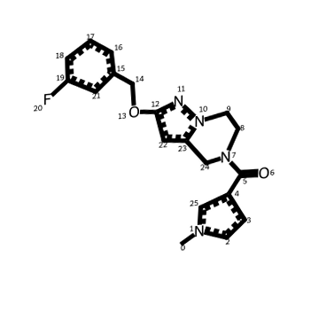 Cn1ccc(C(=O)N2CCn3nc(OCc4cccc(F)c4)cc3C2)c1